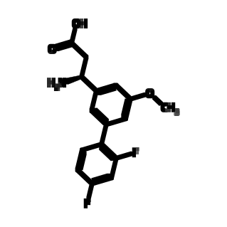 COc1cc(-c2ccc(F)cc2F)cc([C@@H](N)CC(=O)O)c1